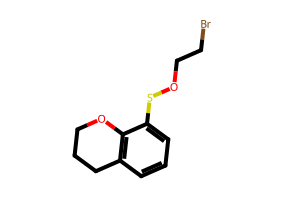 BrCCOSc1cccc2c1OCCC2